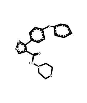 O=C(NN1CCOCC1)c1cnoc1-c1ccc(Oc2ccccc2)cc1